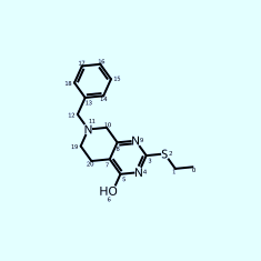 CCSc1nc(O)c2c(n1)CN(Cc1ccccc1)CC2